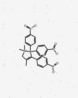 CC1=C(c2ccc([N+](=O)[O-])cc2)[B-](c2ccc([N+](=O)[O-])cc2)(c2ccc([N+](=O)[O-])cc2)[N+](C)(C)C1